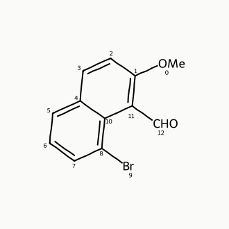 COc1ccc2cccc(Br)c2c1C=O